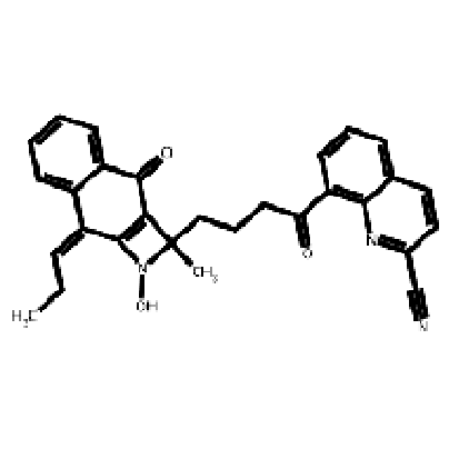 CCC=C1C2=C(C(=O)c3ccccc31)C(C)(CCCC(=O)c1cccc3ccc(C#N)nc13)N2O